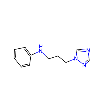 c1ccc(NCCCn2cncn2)cc1